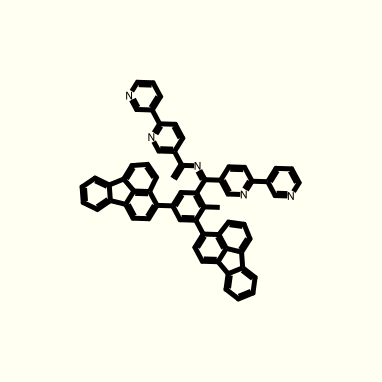 C=C(/N=C(/c1ccc(-c2cccnc2)nc1)c1cc(-c2ccc3c4c(cccc24)-c2ccccc2-3)cc(-c2ccc3c4c(cccc24)-c2ccccc2-3)c1C)c1ccc(-c2cccnc2)nc1